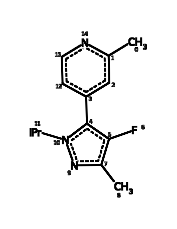 Cc1cc(-c2c(F)c(C)nn2C(C)C)ccn1